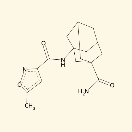 Cc1cc(C(=O)NC23CC4CC(C2)CC(C(N)=O)(C4)C3)no1